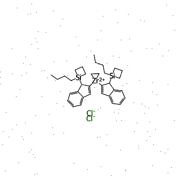 CCCC[Si]1(C2[C]([Zr+2]3([C]4=Cc5ccccc5C4[Si]4(CCCC)CCC4)[CH2][CH2]3)=Cc3ccccc32)CCC1.[Cl-].[Cl-]